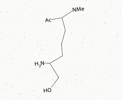 CNC(CCCC(N)CO)C(C)=O